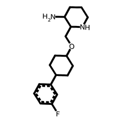 NC1CCCNC1COC1CCC(c2cccc(F)c2)CC1